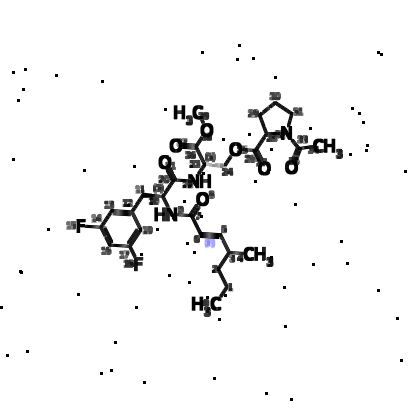 CCCC(C)/C=C/C(=O)N[C@@H](Cc1cc(F)cc(F)c1)C(=O)N[C@@H](COC(=O)C1CCCN1C(C)=O)C(=O)OC